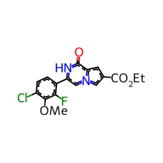 CCOC(=O)c1cc2c(=O)[nH]c(-c3ccc(Cl)c(OC)c3F)cn2c1